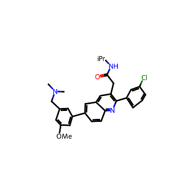 COc1cc(CN(C)C)cc(-c2ccc3nc(-c4cccc(Cl)c4)c(CC(=O)NC(C)C)cc3c2)c1